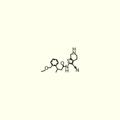 CCOCc1ccccc1C(C)CC(=O)Nc1sc2c(c1C#N)CCNC2